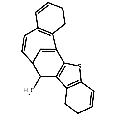 CC1c2c(sc3c2CCC=C3)C2=CC1C=CC1=C2CCC=C1